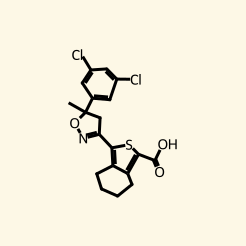 CC1(c2cc(Cl)cc(Cl)c2)CC(c2sc(C(=O)O)c3c2CCCC3)=NO1